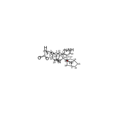 O=C1NCc2cc(-c3n[nH]cc3CN3C4CCC3CN(c3ccc(C(F)(F)F)cn3)C4)ccc2O1